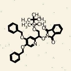 CC(C)(C)[Si](C)(C)OCC(ON1C(=O)c2ccccc2C1=O)c1cc(OCc2ccccc2)c(OCc2ccccc2)cn1